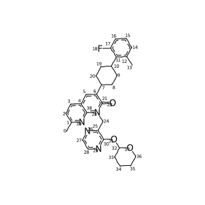 Cc1ccc2cc(C3CCC(c4c(C)cccc4F)CC3)c(=O)n(Cc3nccnc3OC3CCCCO3)c2n1